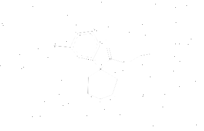 CCOC(=O)C1(c2ccnc(C)n2)CCCCC1